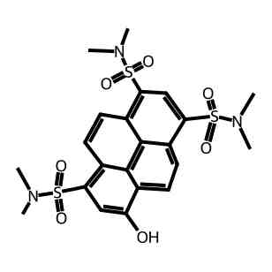 CN(C)S(=O)(=O)c1cc(O)c2ccc3c(S(=O)(=O)N(C)C)cc(S(=O)(=O)N(C)C)c4ccc1c2c34